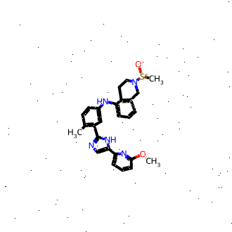 COc1cccc(-c2cnc(-c3cc(Nc4cccc5c4CCN([S+](C)[O-])C5)ccc3C)[nH]2)n1